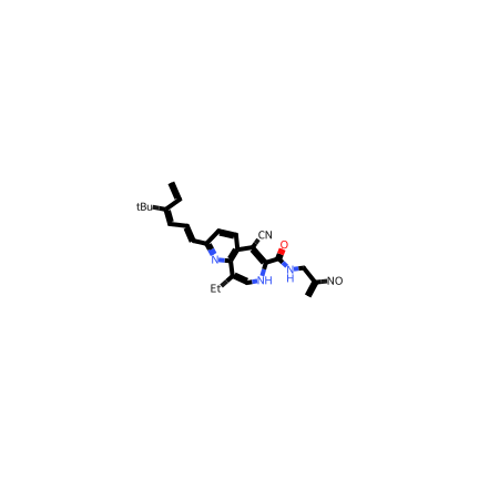 C=C/C(=C\C=C\c1ccc2c(n1)C(CC)=CNC(C(=O)NCC(=C)N=O)=C2C#N)C(C)(C)C